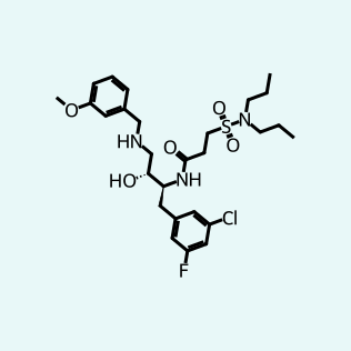 CCCN(CCC)S(=O)(=O)CCC(=O)N[C@@H](Cc1cc(F)cc(Cl)c1)[C@H](O)CNCc1cccc(OC)c1